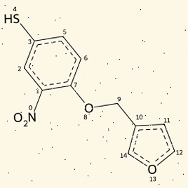 O=[N+]([O-])c1cc(S)ccc1OCc1ccoc1